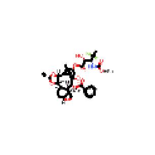 C=C[C@@H]1O[C@@H]2C3=C(C)[C@@H](OC(=O)[C@H](O)[C@@H](NC(=O)OC(C)(C)C)C(C)(F)F)C[C@@](O)([C@@H](OC(=O)c4ccccc4)[C@H]4[C@@](C)(CC[C@H]5OC[C@]54OC(C)=O)[C@@H]2O1)C3(C)C